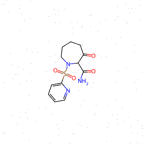 NC(=O)C1C(=O)[CH]CCCN1S(=O)(=O)c1ccccn1